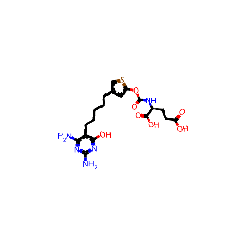 Nc1nc(N)c(CCCCCc2csc(OC(=O)N[C@@H](CCC(=O)O)C(=O)O)c2)c(O)n1